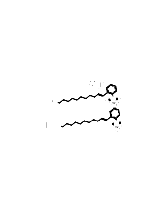 CCCCCCCCCCC=Cc1ccccc1S(=O)(=O)[O-].CCCCCCCCCCC=Cc1ccccc1S(=O)(=O)[O-].[Mg+2]